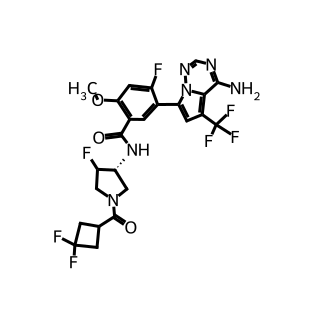 COc1cc(F)c(-c2cc(C(F)(F)F)c3c(N)ncnn23)cc1C(=O)N[C@@H]1CN(C(=O)C2CC(F)(F)C2)CC1F